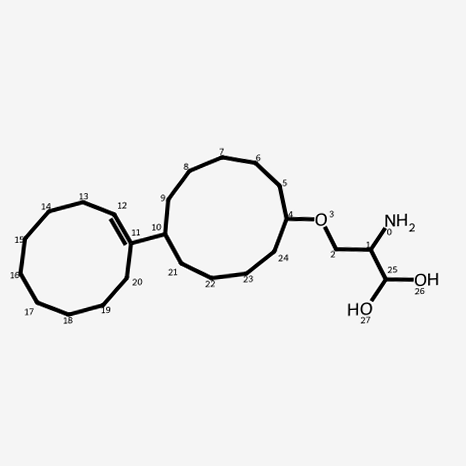 NC(COC1CCCCCC(/C2=C/CCCCCCCC2)CCCC1)C(O)O